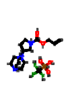 C=CCOC(=O)N1CCC([N+]23CCN(CC2)CC3)C1.O=S(=O)([O-])C(F)(F)F